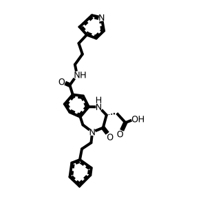 O=C(O)C[C@H]1Nc2cc(C(=O)NCCCc3ccncc3)ccc2CN(CCc2ccccc2)C1=O